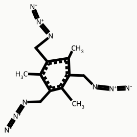 Cc1c(CN=[N+]=[N-])c(C)c(CN=[N+]=[N-])c(C)c1CN=[N+]=[N-]